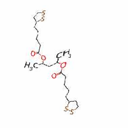 CC(CC(C)OC(=O)CCCCC1CCSS1)OC(=O)CCCCC1CCSS1